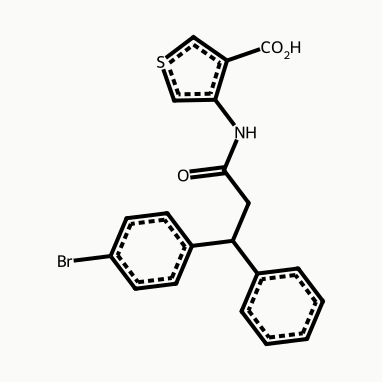 O=C(CC(c1ccccc1)c1ccc(Br)cc1)Nc1cscc1C(=O)O